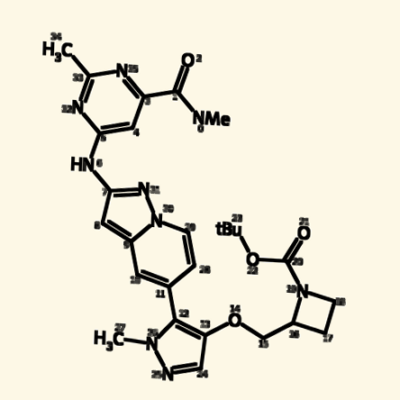 CNC(=O)c1cc(Nc2cc3cc(-c4c(OCC5CCN5C(=O)OC(C)(C)C)cnn4C)ccn3n2)nc(C)n1